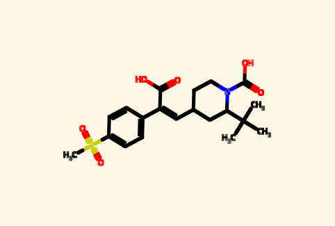 CC(C)(C)C1CC(C=C(C(=O)O)c2ccc(S(C)(=O)=O)cc2)CCN1C(=O)O